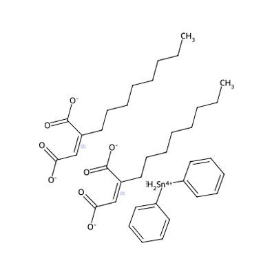 CCCCCCCC/C(=C/C(=O)[O-])C(=O)[O-].CCCCCCCC/C(=C/C(=O)[O-])C(=O)[O-].c1cc[c]([SnH2+4][c]2ccccc2)cc1